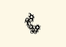 Cc1ccc(F)c(-c2nc(CN3CCC(N4C(=O)OCc5ccccc54)CC3)no2)c1